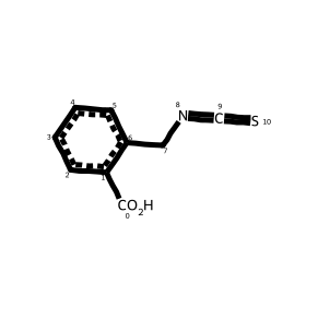 O=C(O)c1ccccc1CN=C=S